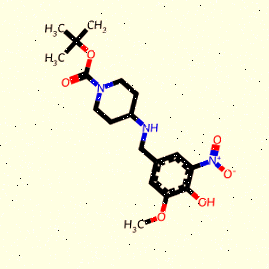 COc1cc(CNC2CCN(C(=O)OC(C)(C)C)CC2)cc([N+](=O)[O-])c1O